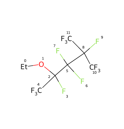 CCOC(F)(C(F)(F)F)C(F)(F)C(F)(C(F)(F)F)C(F)(F)F